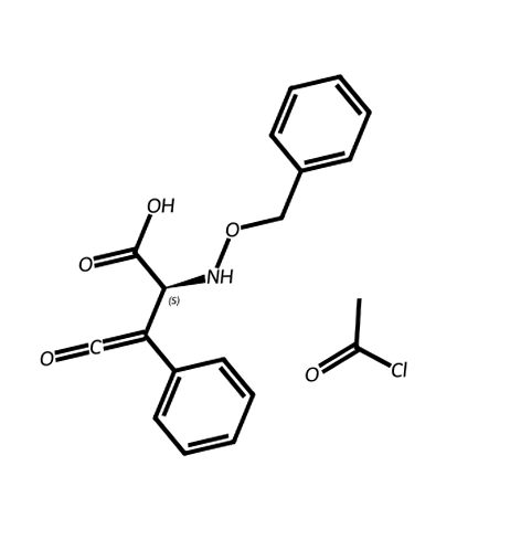 CC(=O)Cl.O=C=C(c1ccccc1)[C@H](NOCc1ccccc1)C(=O)O